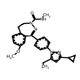 CCc1cc(C2CC2)nn1-c1ccc(C2=NN(C(=O)NC)CCc3ccc(OC)cc32)cc1